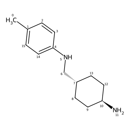 Cc1ccc(NC[C@H]2CC[C@H](N)CC2)cc1